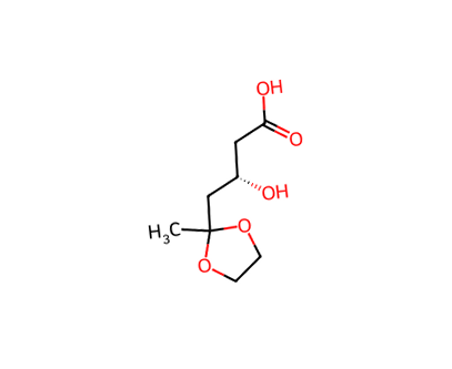 CC1(C[C@@H](O)CC(=O)O)OCCO1